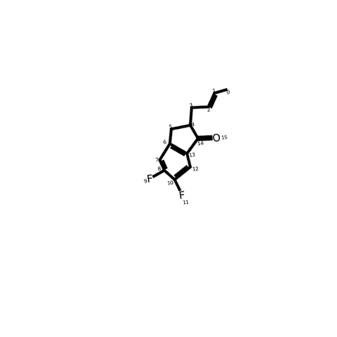 CC=CCC1Cc2cc(F)c(F)cc2C1=O